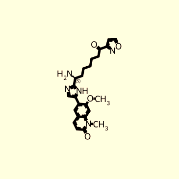 COc1cc2c(ccc(=O)n2C)cc1-c1cnc([C@@H](N)CCCCCC(=O)c2ccon2)[nH]1